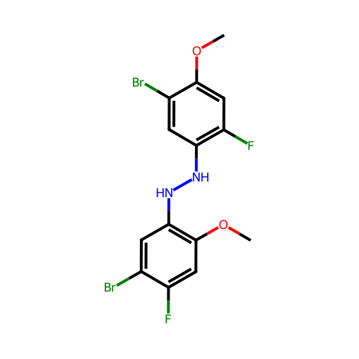 COc1cc(F)c(NNc2cc(Br)c(F)cc2OC)cc1Br